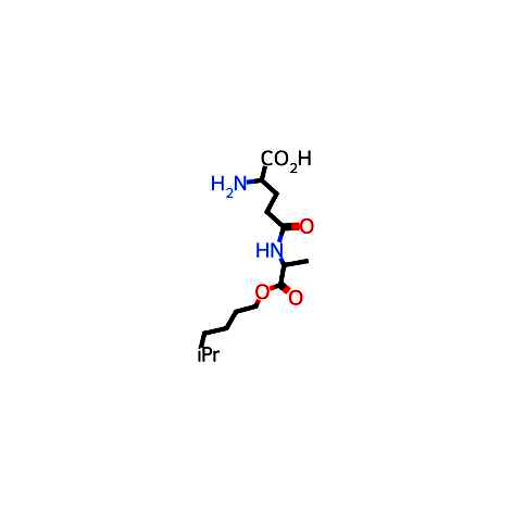 CC(C)CCCCOC(=O)C(C)NC(=O)CCC(N)C(=O)O